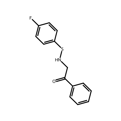 O=C(CNSc1ccc(F)cc1)c1ccccc1